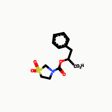 O=C(O)C(Cc1ccccc1)OC(=O)N1CCS(=O)(=O)C1